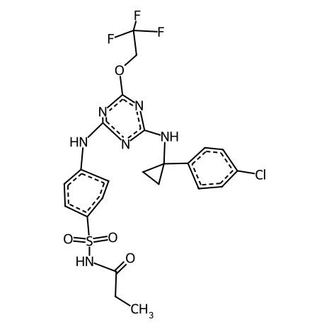 CCC(=O)NS(=O)(=O)c1ccc(Nc2nc(NC3(c4ccc(Cl)cc4)CC3)nc(OCC(F)(F)F)n2)cc1